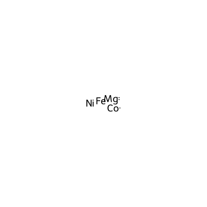 [Co].[Fe].[Mg].[Ni]